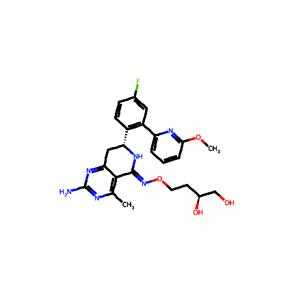 COc1cccc(-c2cc(F)ccc2[C@H]2Cc3nc(N)nc(C)c3/C(=N/OCC[C@H](O)CO)N2)n1